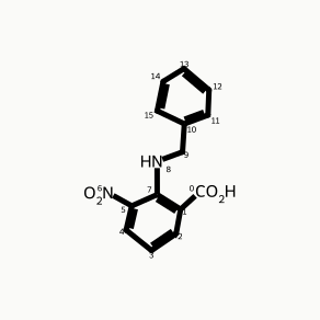 O=C(O)c1[c]ccc([N+](=O)[O-])c1NCc1ccccc1